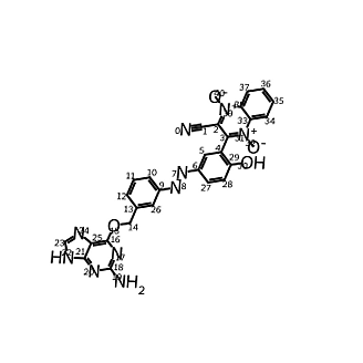 N#Cc1c(-c2cc(/N=N/c3cccc(COc4nc(N)nc5[nH]cnc45)c3)ccc2O)[n+]([O-])c2ccccc2[n+]1[O-]